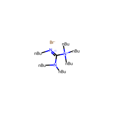 CCCC/N=C(\N(CCCC)CCCC)[N+](CCCC)(CCCC)CCCC.[Br-]